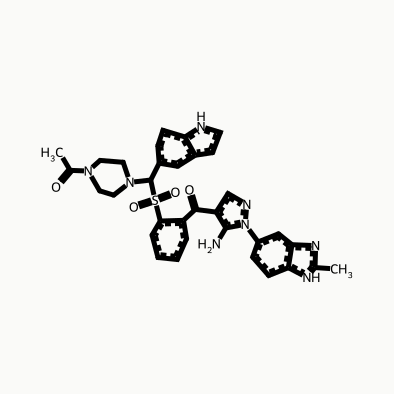 CC(=O)N1CCN(C(c2ccc3[nH]ccc3c2)S(=O)(=O)c2ccccc2C(=O)c2cnn(-c3ccc4[nH]c(C)nc4c3)c2N)CC1